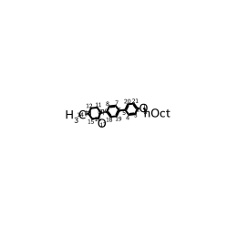 CCCCCCCCOc1ccc(-c2ccc([C@@H]3CC[C@@H](C)CC3=O)cc2)cc1